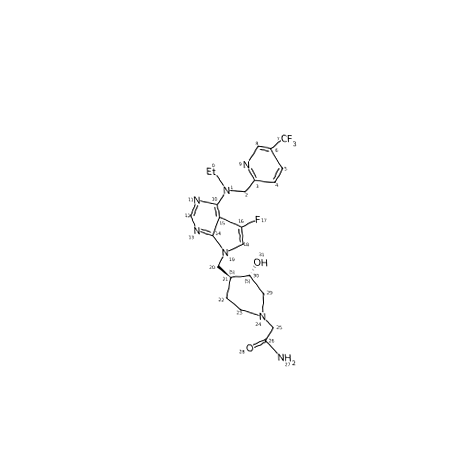 CCN(Cc1ccc(C(F)(F)F)cn1)c1ncnc2c1c(F)cn2C[C@@H]1CCN(CC(N)=O)C[C@H]1O